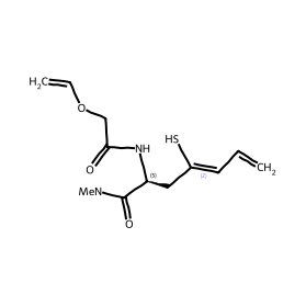 C=C/C=C(\S)C[C@H](NC(=O)COC=C)C(=O)NC